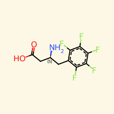 N[C@H](CC(=O)O)Cc1c(F)c(F)c(F)c(F)c1F